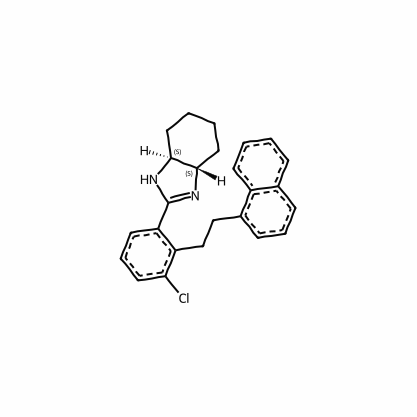 Clc1cccc(C2=N[C@H]3CCCC[C@@H]3N2)c1CCc1cccc2ccccc12